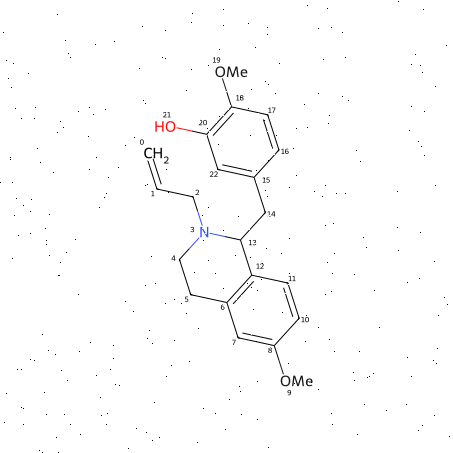 C=CCN1CCc2cc(OC)ccc2C1Cc1ccc(OC)c(O)c1